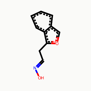 ON=[C]Cc1occ2ccccc12